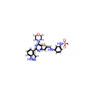 CS(=O)(=O)Nc1cccc(NCc2cc3nc(-c4cccc5[nH]ncc45)nc(N4CCOCC4)c3s2)c1